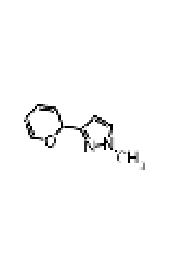 Cn1ccc(C2C=CC=CO2)n1